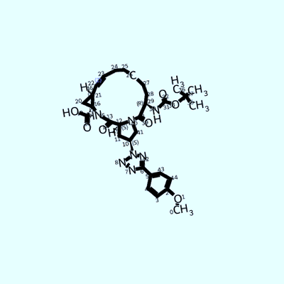 COc1ccc(-c2nnn([C@H]3C[C@H]4C(=O)N[C@@]5(C(=O)O)C[C@H]5/C=C\CCCCC[C@@H](NC(=O)OC(C)(C)C)C(=O)N4C3)n2)cc1